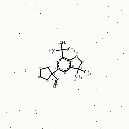 CC(C)(C)c1cc(C2(C=O)CCCC2)cc2c1OCC2(C)C